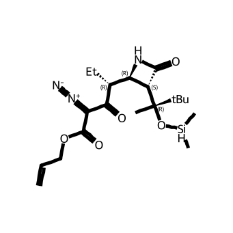 C=CCOC(=O)C(=[N+]=[N-])C(=O)[C@H](CC)[C@H]1NC(=O)[C@@H]1[C@@](C)(O[SiH](C)C)C(C)(C)C